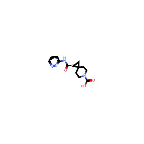 O=C(Nc1cccnn1)[C@H]1CC12CCN(C(=O)O)CC2